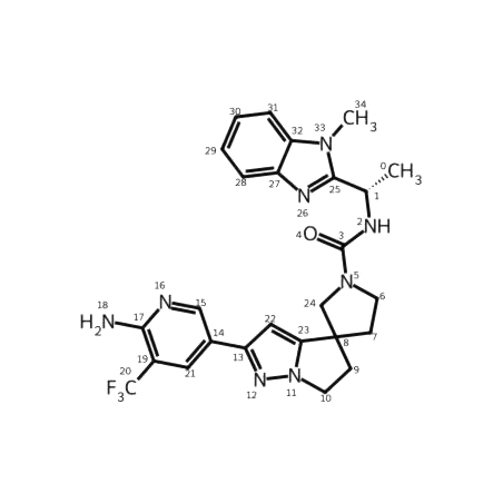 C[C@H](NC(=O)N1CCC2(CCn3nc(-c4cnc(N)c(C(F)(F)F)c4)cc32)C1)c1nc2ccccc2n1C